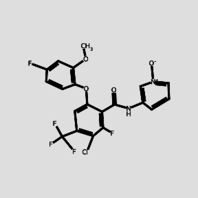 COc1cc(F)ccc1Oc1cc(C(F)(F)F)c(Cl)c(F)c1C(=O)Nc1ccc[n+]([O-])c1